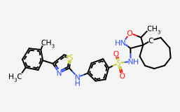 Cc1ccc(C)c(-c2csc(Nc3ccc(S(=O)(=O)NC4NOC(C)C45CCCCCCCC5)cc3)n2)c1